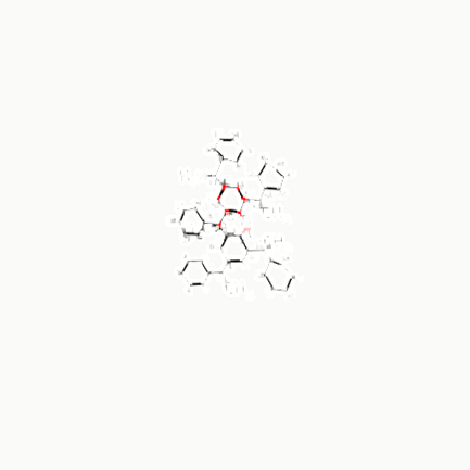 CC(c1ccccc1)c1cc(C(C)c2ccccc2)c(Oc2c(C(C)c3ccccc3)cc(C(C)c3ccccc3)cc2C(C)c2ccccc2)c(C(C)c2ccccc2)c1